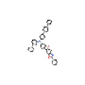 c1ccc(-c2ccc(-c3ccc(N(c4cccc(-c5ccccc5)c4)c4ccc5c(c4)oc4cc6nc(-c7ccccc7)oc6cc45)cc3)cc2)cc1